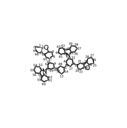 C1=CC2Oc3ccc(-c4cc(-c5cccc(-c6cc(-c7ccc8oc9ccccc9c8c7)cc(-n7c8ccccc8c8ccccc87)c6)c5)cc(-n5c6ccccc6c6ccccc65)c4)cc3C2C=C1